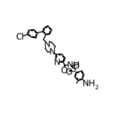 Cc1cc(S(=O)(=O)NC(=O)c2ccc(N3CCN(Cc4ccccc4-c4ccc(Cl)cc4)CC3)cn2)ccc1N